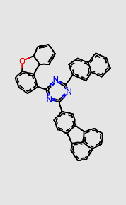 C1=CC2Oc3cccc(-c4nc(-c5ccc6c(c5)-c5cccc7cccc-6c57)nc(-c5ccc6ccccc6c5)n4)c3C2C=C1